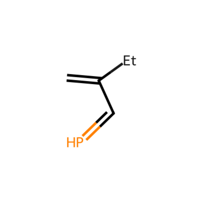 C=C(C=P)CC